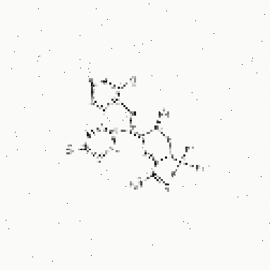 N=C1N=C(C(F)(F)F)C(C(N)=O)=C/C1=C(/Nc1ccccc1Cl)c1ccc(Cl)cc1